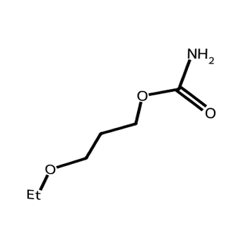 CCOCCCOC(N)=O